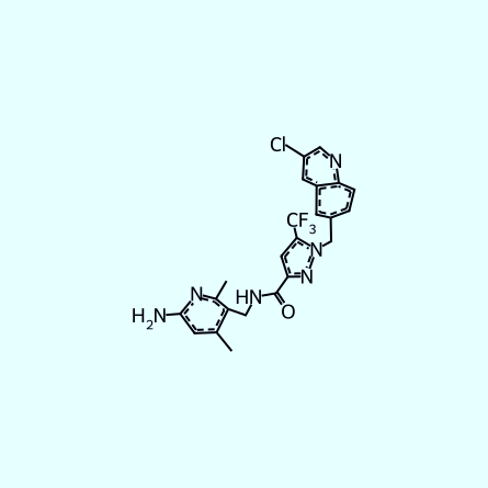 Cc1cc(N)nc(C)c1CNC(=O)c1cc(C(F)(F)F)n(Cc2ccc3ncc(Cl)cc3c2)n1